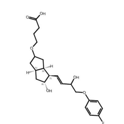 O=C(O)CCCOC1C[C@@H]2C[C@@H](O)[C@H](C=CC(O)COc3ccc(F)cc3)[C@@H]2C1